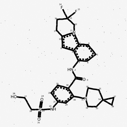 O=C(Nc1cccc2c1cc1n2CC(F)(F)CC1)c1ccc(NS(=O)(=O)CCO)cc1N1CCC2(CC1)CC2